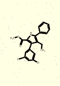 CCc1c(-c2ccccc2)[nH]c(C(=O)OC)c1-c1cc(Cl)cc(Cl)c1